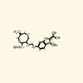 C=C1CSCC(SCOc2ccc3c(c2)SC(=C(C#N)C#N)N3CCCC)C(NC(C)=O)SC1